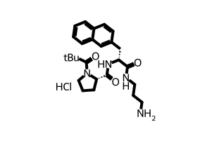 CC(C)(C)C(=O)N1CCC[C@H]1C(=O)N[C@H](Cc1ccc2ccccc2c1)C(=O)NCCCN.Cl